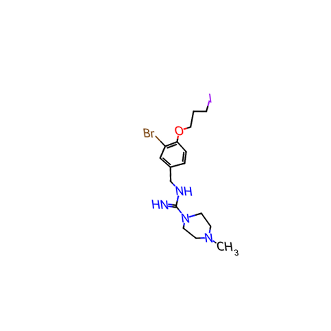 CN1CCN(C(=N)NCc2ccc(OCCCI)c(Br)c2)CC1